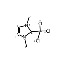 CN1C=NN(C)C1C(Cl)(Cl)Cl